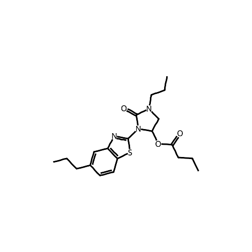 CCCC(=O)OC1CN(CCC)C(=O)N1c1nc2cc(CCC)ccc2s1